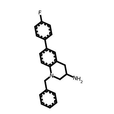 NC1Cc2cc(-c3ccc(F)cc3)ccc2N(Cc2ccccc2)C1